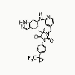 CC1(C)C(=O)N(c2ccc(C3(C(F)(F)F)CC3)cc2)C(=O)N1Cc1ccnc(NC2CCc3cn[nH]c3C2)c1